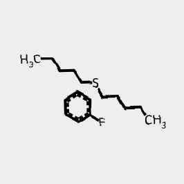 CCCCCSCCCCC.Fc1ccccc1